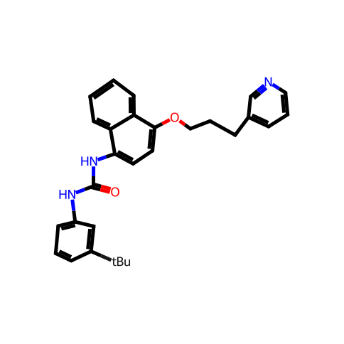 CC(C)(C)c1cccc(NC(=O)Nc2ccc(OCCCc3cccnc3)c3ccccc23)c1